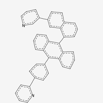 c1ccc(-c2ccc(-c3c4ccccc4c(-c4cccc5ccc(-c6cccnc6)cc45)c4ccccc34)cc2)nc1